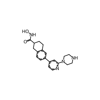 O=C(NO)C1CCc2cc(-c3ccnc(N4CCNCC4)c3)ccc2C1